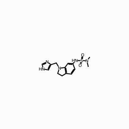 CN(C)S(=O)(=O)Nc1ccc2c(c1)N(Cc1c[nH]cn1)CC2